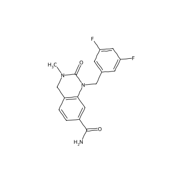 CN1Cc2ccc(C(N)=O)cc2N(Cc2cc(F)cc(F)c2)C1=O